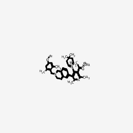 Cc1cc(OC(C)C)cc(C)c1CN1CCc2cc(-c3c(C)nc(C)c(C(OC(C)(C)C)C(=O)O)c3N3CCC(C)(C)CC3)ccc2C1